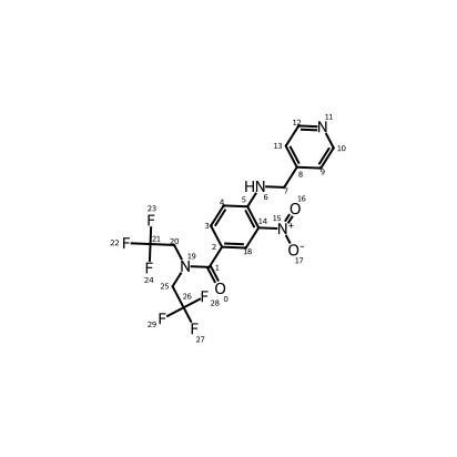 O=C(c1ccc(NCc2ccncc2)c([N+](=O)[O-])c1)N(CC(F)(F)F)CC(F)(F)F